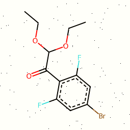 CCOC(OCC)C(=O)c1c(F)cc(Br)cc1F